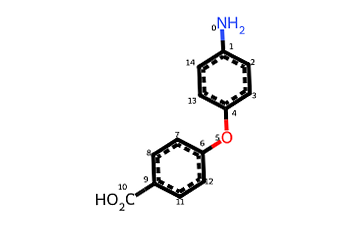 Nc1ccc(Oc2ccc(C(=O)O)cc2)cc1